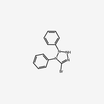 BrC1=NNN(c2ccccc2)N1c1ccccc1